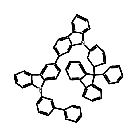 C1=CC(C2(c3ccccc3)c3ccccc3-c3ccccc32)CC(n2c3ccccc3c3ccc(-c4ccc5c(c4)c4ccccc4n5-c4cccc(-c5ccccc5)c4)cc32)=C1